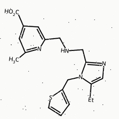 CCc1cnc(CNCc2cc(C(=O)O)cc(C)n2)n1Cc1cccs1